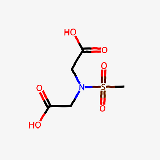 CS(=O)(=O)N(CC(=O)O)CC(=O)O